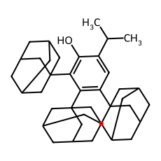 CC(C)c1cc(C23CC4CC(CC(C4)C2)C3)c(C23CC4CC(CC(C4)C2)C3)c(C23CC4CC(CC(C4)C2)C3)c1O